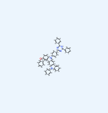 c1ccc(-c2nc(-c3ccccc3)nc(-c3ccc(-n4c5cc6c7ccccc7n(-c7ccccc7)c6cc5c5c6c(ccc54)oc4ccccc46)cc3)n2)cc1